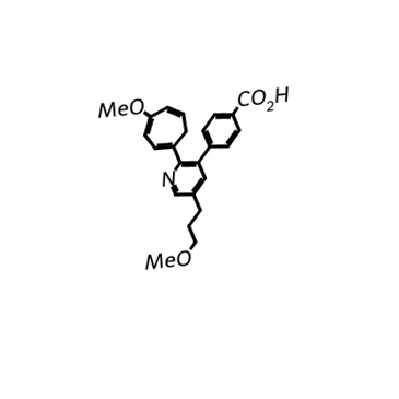 COCCCc1cnc(C2=CC=C(OC)C=CC2)c(-c2ccc(C(=O)O)cc2)c1